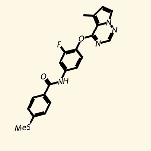 CSc1ccc(C(=O)Nc2ccc(Oc3ncnn4ccc(C)c34)c(F)c2)cc1